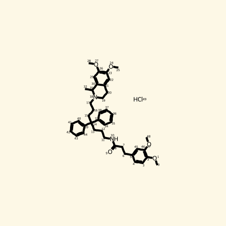 COc1ccc(CCC(=O)NCCCC(CCCN2CCc3cc(OC)c(OC)cc3C2C)(c2ccccc2)c2ccccc2)cc1OC.Cl